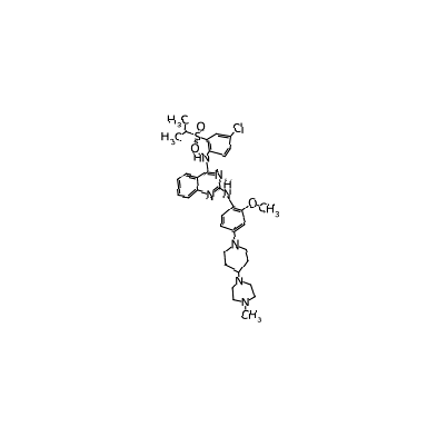 COc1cc(N2CCC(N3CCN(C)CC3)CC2)ccc1Nc1nc(Nc2ccc(Cl)cc2S(=O)(=O)C(C)C)c2ccccc2n1